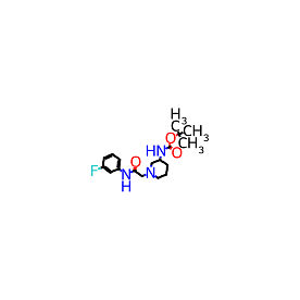 CC(C)(C)OC(=O)NC1CCCN(CC(=O)Nc2cccc(F)c2)C1